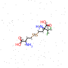 NC(CCSSCC[C@](N)(C(=O)O)C(F)F)C(=O)O